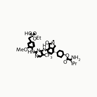 CCOP(=O)(O)Cc1ccc(Nc2ncc(C(F)(F)F)c(Nc3ccc([C@H]4CC[C@H](OC(=O)[C@@H](N)C(C)C)CC4)c4c3C(=O)N(C)C4)n2)c(OC)c1